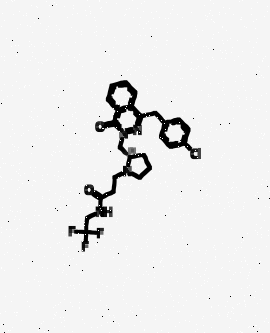 O=C(CCN1CCC[C@@H]1Cn1nc(Cc2ccc(Cl)cc2)c2ccccc2c1=O)NCC(F)(F)F